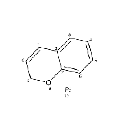 C1=Cc2ccccc2OC1.[P]